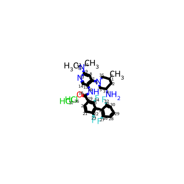 C[C@@H]1C[C@H](N)CN(c2cc(N(C)C)ncc2NC(=O)c2ccc(F)c(-c3c(F)cccc3F)c2F)C1.Cl.Cl